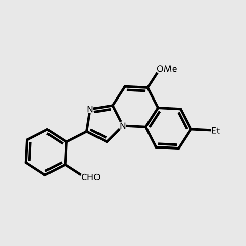 CCc1ccc2c(c1)c(OC)cc1nc(-c3ccccc3C=O)cn12